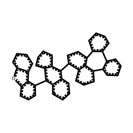 c1ccc2c(c1)-c1ccccc1-c1ccc(-c3c4ccccc4c(-c4cccc5oc6ccccc6c45)c4ccccc34)c3cccc-2c13